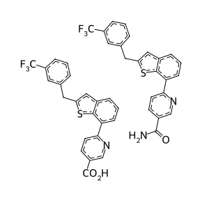 NC(=O)c1ccc(-c2cccc3cc(Cc4cccc(C(F)(F)F)c4)sc23)nc1.O=C(O)c1ccc(-c2cccc3cc(Cc4cccc(C(F)(F)F)c4)sc23)nc1